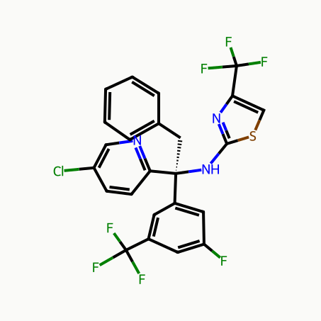 Fc1cc(C(F)(F)F)cc([C@](Cc2ccccc2)(Nc2nc(C(F)(F)F)cs2)c2ccc(Cl)cn2)c1